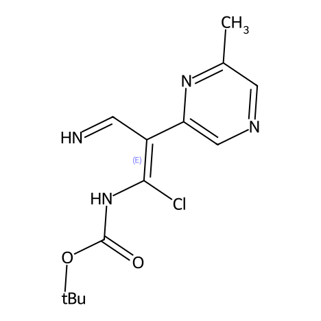 Cc1cncc(/C(C=N)=C(\Cl)NC(=O)OC(C)(C)C)n1